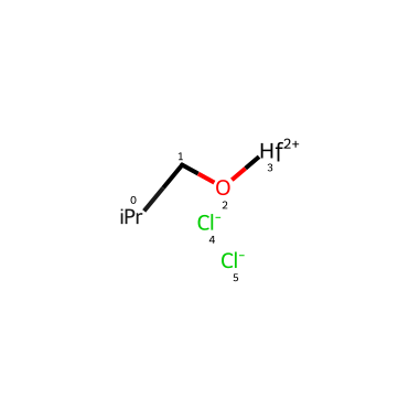 CC(C)C[O][Hf+2].[Cl-].[Cl-]